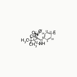 CC(C)(C)c1c[nH]c(-c2ccc(F)cc2)c1[N+](=O)[O-]